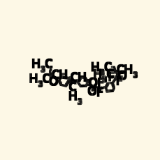 CCCC(C)(C)Oc1ccc(C(C)(C)c2ccc(OC(=O)C(F)(F)c3cccc(C(F)(F)C(=O)C(C)(C)CC)c3)cc2)cc1